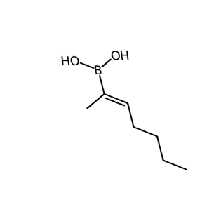 CCCCC=C(C)B(O)O